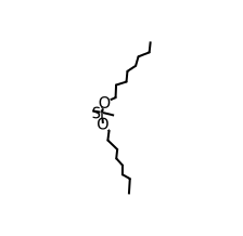 CCCCCCCCO[Si](C)(C)OCCCCCCCC